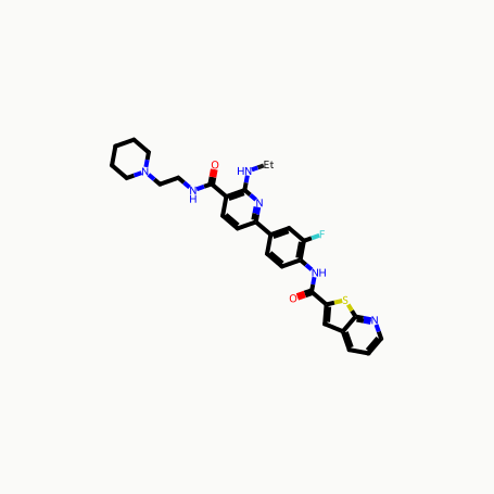 CCNc1nc(-c2ccc(NC(=O)c3cc4cccnc4s3)c(F)c2)ccc1C(=O)NCCN1CCCCC1